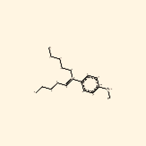 CCCCC=C(CCCCC)c1ccc(OC)cc1